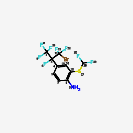 Nc1ccc(C(F)(C(F)(F)F)C(F)(F)Br)cc1SC(F)F